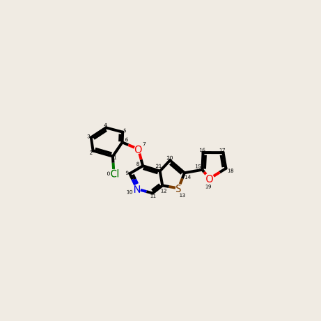 Clc1ccccc1Oc1cncc2sc(-c3ccco3)cc12